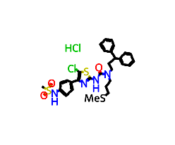 CSCCCN(CCC(c1ccccc1)c1ccccc1)C(=O)Nc1nc(-c2ccc(NS(C)(=O)=O)cc2)c(Cl)s1.Cl